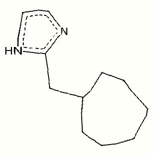 c1c[nH]c(CC2CCCCCC2)n1